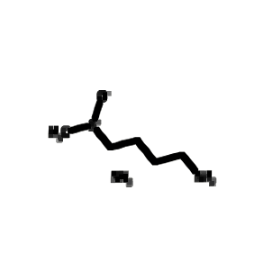 C[S+]([O-])CCCCN.N